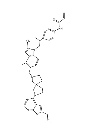 C=CC(=O)Nc1ccc(C(C)Cn2c(C#N)cc3c(C)c(CN4CCC5(CCN(c6ncnc7sc(CC(F)(F)F)cc67)C5)C4)ccc32)cn1